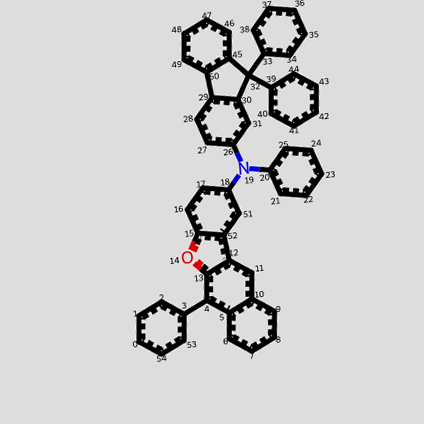 c1ccc(-c2c3ccccc3cc3c2oc2ccc(N(c4ccccc4)c4ccc5c(c4)C(c4ccccc4)(c4ccccc4)c4ccccc4-5)cc23)cc1